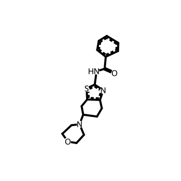 O=C(Nc1nc2c(s1)CC(N1CCOCC1)CC2)c1ccccc1